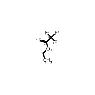 CCOC(=S)C(F)(F)F